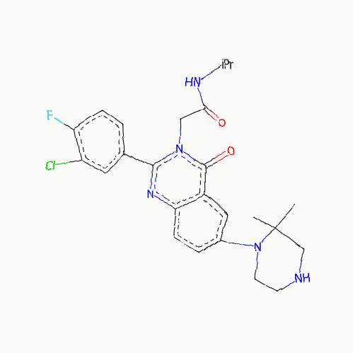 CC(C)NC(=O)Cn1c(-c2ccc(F)c(Cl)c2)nc2ccc(N3CCNCC3(C)C)cc2c1=O